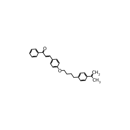 C=C(C)c1ccc(CCCCOc2ccc(/C=C/C(=O)c3ccccc3)cc2)cc1